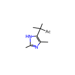 CC(=O)C(C)(C)c1[nH]c(C)nc1C